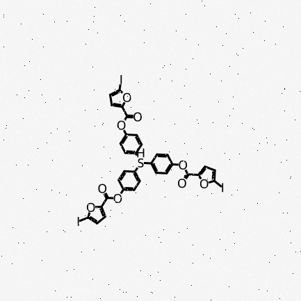 O=C(Oc1ccc([SH](c2ccc(OC(=O)c3ccc(I)o3)cc2)c2ccc(OC(=O)c3ccc(I)o3)cc2)cc1)c1ccc(I)o1